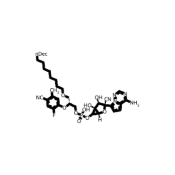 CCCCCCCCCCCCCCCCCCOC[C@H](COP(=O)(O)OC1[C@H]2O[C@@](C#N)(c3ccc4c(N)ncnn34)[C@H](O)[C@@]12O)Oc1cc(C)c(C#N)cc1F